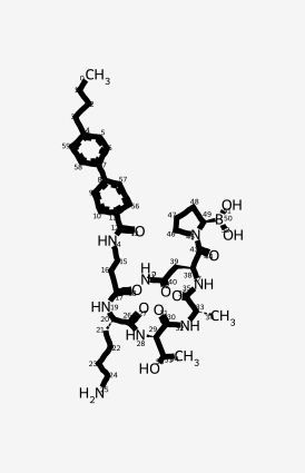 CCCCc1ccc(-c2ccc(C(=O)NCCC(=O)N[C@@H](CCCCN)C(=O)N[C@H](C(=O)N[C@@H](C)C(=O)N[C@@H](CC(N)=O)C(=O)N3CCC[C@H]3B(O)O)C(C)O)cc2)cc1